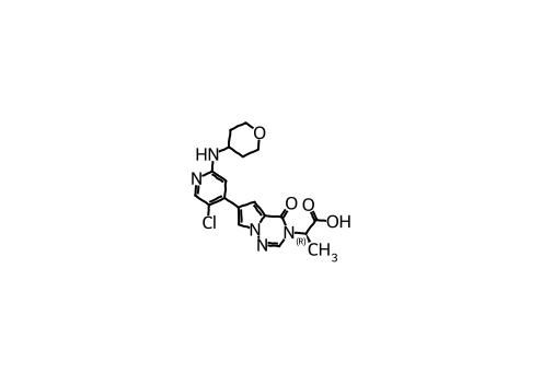 C[C@H](C(=O)O)n1cnn2cc(-c3cc(NC4CCOCC4)ncc3Cl)cc2c1=O